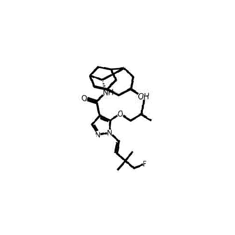 CC(C)COc1c(C(=O)N[C@@H]2C3CC4CC(O)CC2C(C4)C3)cnn1/C=C/C(C)(C)CF